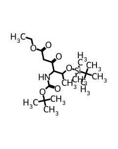 CCOC(=O)CC(=O)C(NC(=O)OC(C)(C)C)C(C)O[Si](C)(C)C(C)(C)C